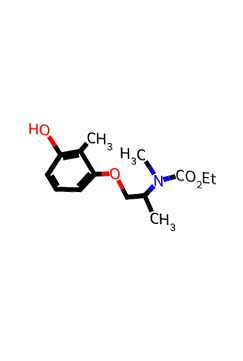 CCOC(=O)N(C)C(C)COc1cccc(O)c1C